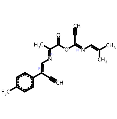 C#C/C(=C\N=C(/C)C(=O)O/C(C#C)=N/C=C(C)C)c1ccc(C(F)(F)F)cc1